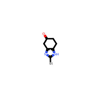 CCc1nc2c([nH]1)CCC(=O)C2